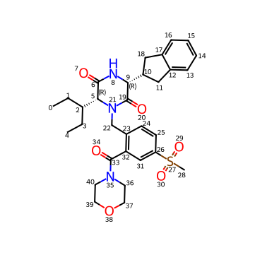 CCC(CC)[C@@H]1C(=O)N[C@H](C2Cc3ccccc3C2)C(=O)N1Cc1ccc(S(C)(=O)=O)cc1C(=O)N1CCOCC1